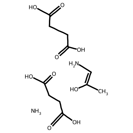 CC(O)=CN.N.O=C(O)CCC(=O)O.O=C(O)CCC(=O)O